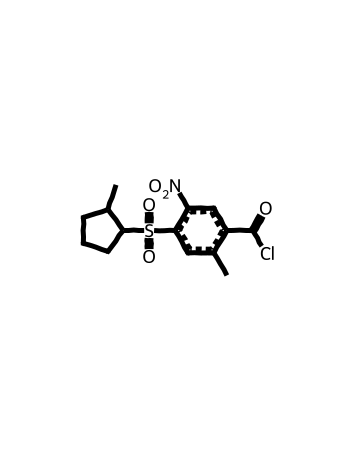 Cc1cc(S(=O)(=O)C2CCCC2C)c([N+](=O)[O-])cc1C(=O)Cl